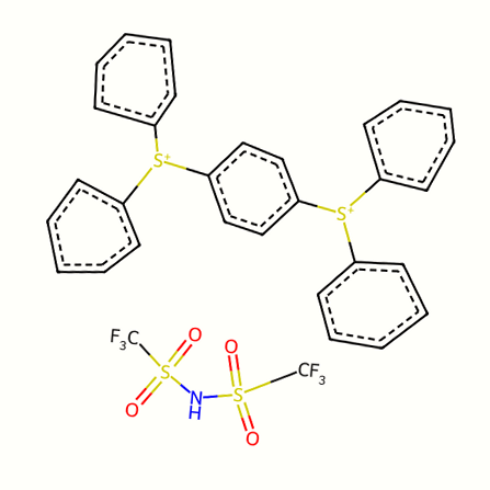 O=S(=O)(NS(=O)(=O)C(F)(F)F)C(F)(F)F.c1ccc([S+](c2ccccc2)c2ccc([S+](c3ccccc3)c3ccccc3)cc2)cc1